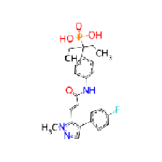 CCC(CC)(c1ccc(NC(=O)C=Cc2c(-c3ccc(F)cc3)cnn2C)cc1)P(=O)(O)O